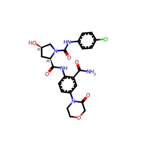 NC(=O)c1cc(N2CCOCC2=O)ccc1NC(=O)[C@H]1C[C@@H](O)CN1C(=O)Nc1ccc(Cl)cc1